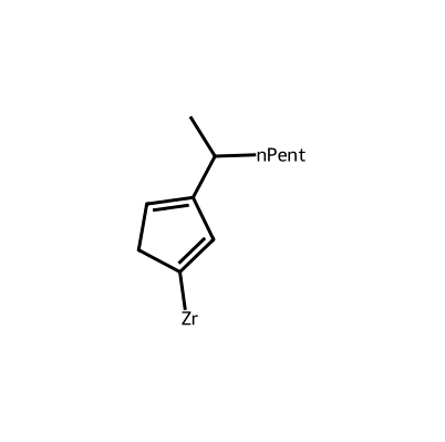 CCCCCC(C)C1=CC[C]([Zr])=C1